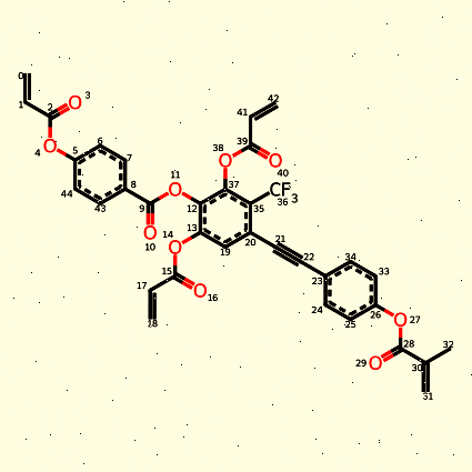 C=CC(=O)Oc1ccc(C(=O)Oc2c(OC(=O)C=C)cc(C#Cc3ccc(OC(=O)C(=C)C)cc3)c(C(F)(F)F)c2OC(=O)C=C)cc1